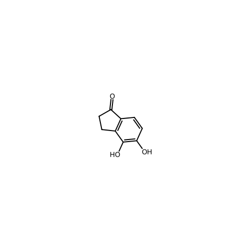 O=C1CCc2c1ccc(O)c2O